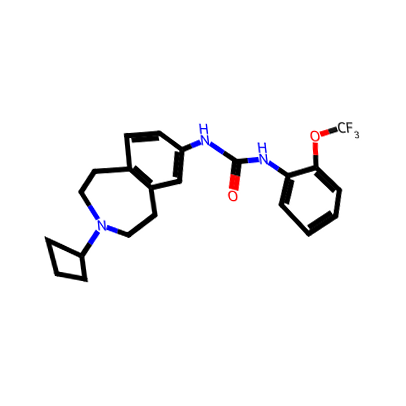 O=C(Nc1ccc2c(c1)CCN(C1CCC1)CC2)Nc1ccccc1OC(F)(F)F